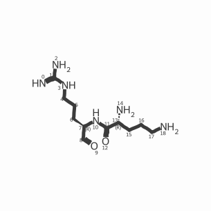 N=C(N)NCCC[C@H](C=O)NC(=O)[C@H](N)CCCN